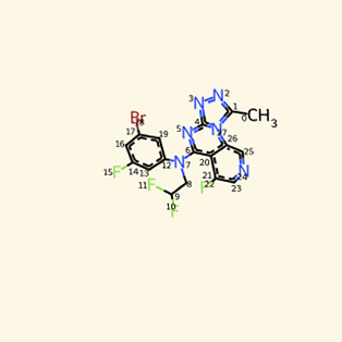 Cc1nnc2nc(N(CC(F)F)c3cc(F)cc(Br)c3)c3c(F)cncc3n12